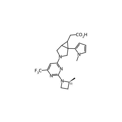 C[C@H]1CCN1c1nc(N2CC3C(CC(=O)O)C3(c3cccn3C)C2)cc(C(F)(F)F)n1